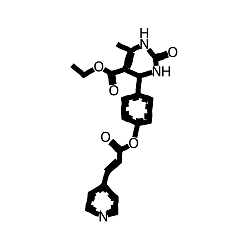 CCOC(=O)C1=C(C)NC(=O)NC1c1ccc(OC(=O)/C=C/c2ccncc2)cc1